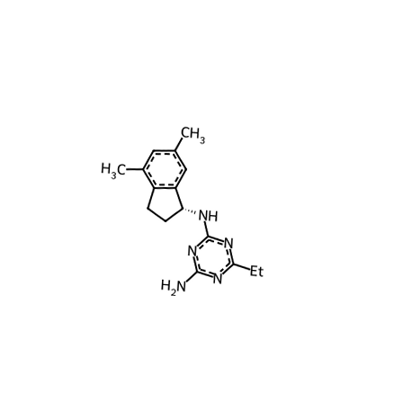 CCc1nc(N)nc(N[C@@H]2CCc3c(C)cc(C)cc32)n1